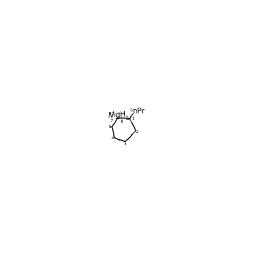 [CH2]CCC1CCCCC1.[MgH2]